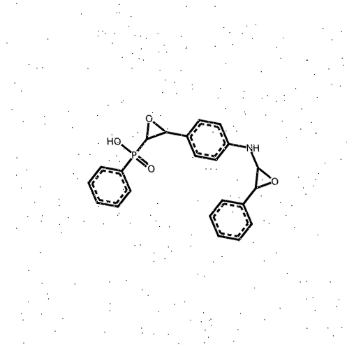 O=P(O)(c1ccccc1)C1OC1c1ccc(NC2OC2c2ccccc2)cc1